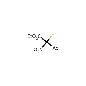 CCOC(=O)C(F)(C(C)=O)[N+](=O)[O-]